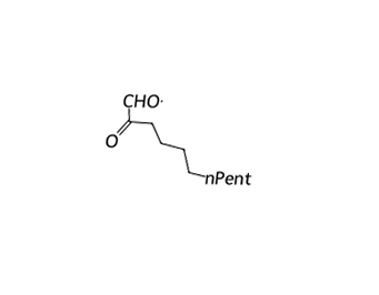 CCCCCCCCCC(=O)[C]=O